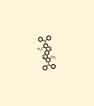 Cc1cc(N(c2ccccc2)c2ccccc2)cc2nnc3cc4c(cc3c12)nnc1cc(N(c2ccccc2)c2ccccc2)cc(C)c14